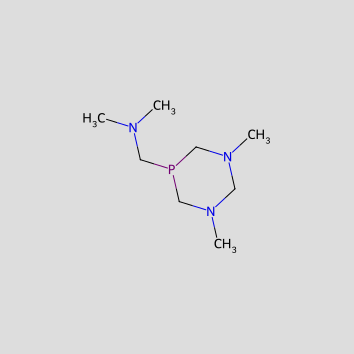 CN(C)CP1CN(C)CN(C)C1